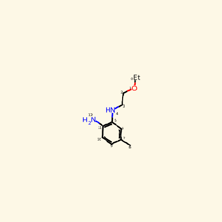 CCOCCNc1cc(C)ccc1N